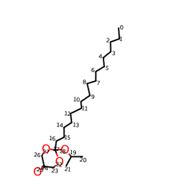 CCCCCCCCCCCCCCCCCC1(OC(C)C)OCC(=O)CO1